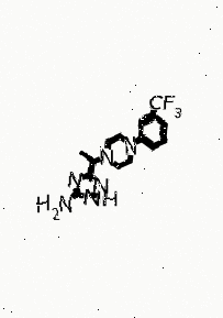 CC(c1n[nH]c(N)n1)N1CCN(c2cccc(C(F)(F)F)c2)CC1